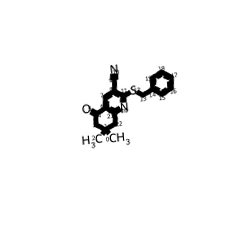 CC1(C)CC(=O)c2cc(C#N)c(SCc3ccccc3)nc2C1